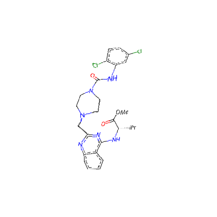 COC(=O)[C@@H](Nc1nc(CN2CCN(C(=O)Nc3cc(Cl)ccc3Cl)CC2)nc2ccccc12)C(C)C